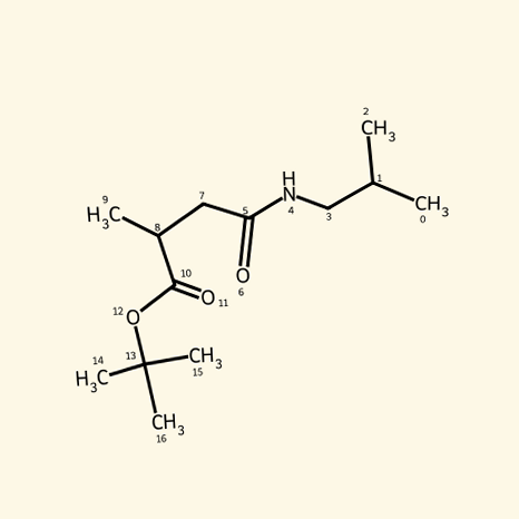 CC(C)CNC(=O)CC(C)C(=O)OC(C)(C)C